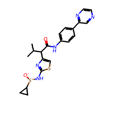 CC(C)C(C(=O)Nc1ccc(-c2cnccn2)cc1)c1csc(N[S+]([O-])C2CC2)n1